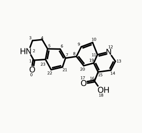 O=C1NCCc2cc(-c3ccc4nccc(C(=O)O)c4c3)ccc21